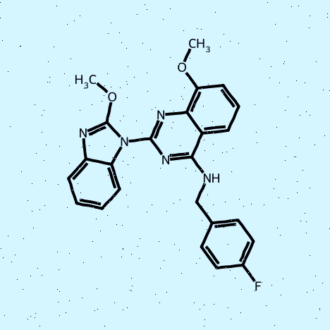 COc1cccc2c(NCc3ccc(F)cc3)nc(-n3c(OC)nc4ccccc43)nc12